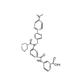 CN(C)c1ccc(-c2ccc(CN(C(=O)C3CCCCC3)c3cccc(C(=O)Nc4cccc(C(=O)O)c4)c3)cc2)cc1